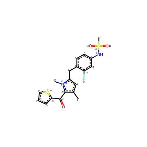 Cc1cc(Cc2ccc(NS(C)(=O)=O)cc2F)n(C)c1C(=O)c1cccs1